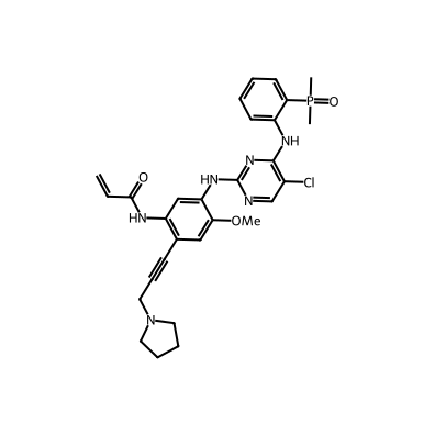 C=CC(=O)Nc1cc(Nc2ncc(Cl)c(Nc3ccccc3P(C)(C)=O)n2)c(OC)cc1C#CCN1CCCC1